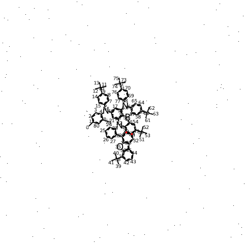 Cc1ccc(N(c2ccc(C(C)(C)C)cc2)c2cc3c4c(c2)N(c2ccccc2-c2cccc5c2oc2c(C(C)(C)C)cccc25)c2ccc(C(C)(C)C)cc2B4c2cc(C(C)(C)C)ccc2N3c2ccc(C(C)(C)C)cc2)c(C)c1